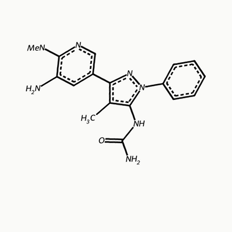 CNc1ncc(-c2nn(-c3ccccc3)c(NC(N)=O)c2C)cc1N